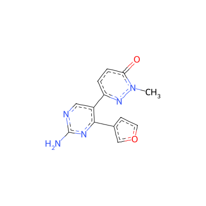 Cn1nc(-c2cnc(N)nc2-c2ccoc2)ccc1=O